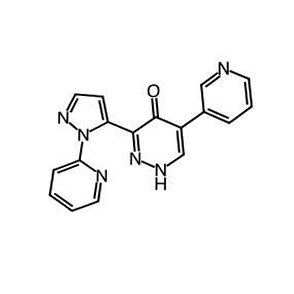 O=c1c(-c2cccnc2)c[nH]nc1-c1ccnn1-c1ccccn1